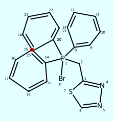 BrP(Cc1nncs1)(c1ccccc1)(c1ccccc1)c1ccccc1